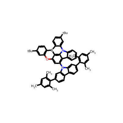 Cc1cc(C)c(-c2ccc3c4ccc(-c5c(C)cc(C)cc5C)cc4n(-c4cc5c6c7c4c4ccccc4n7-c4cc(C(C)(C)C)ccc4B6c4ccc(C(C)(C)C)cc4O5)c3c2)c(C)c1